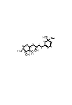 COC1(O)C=CC=C(CCC(O)CC2OC[C@@H](O)[C@H](O)[C@H]2O)C1